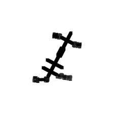 CCCCCC(C)(OCC)C(C)(C)C#CC(C)(O)O